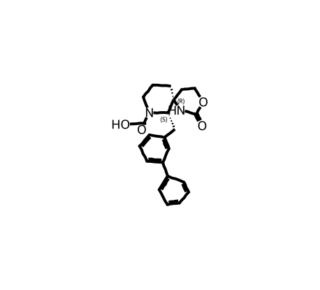 O=C1N[C@]2(CCCN(C(=O)O)[C@H]2Cc2cccc(-c3ccccc3)c2)CCO1